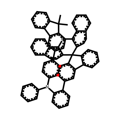 CC1(C)c2ccccc2-c2cc(-c3ccc(N(c4ccccc4)c4ccccc4-c4ccc5c(c4)-c4ccccc4C54c5ccc6ccccc6c5Oc5c4ccc4ccccc54)cc3)ccc21